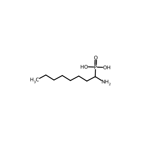 CCCCCCC[C](N)P(=O)(O)O